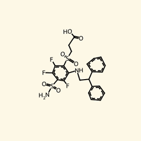 NS(=O)(=O)c1c(F)c(F)c(S(=O)(=O)CCC(=O)O)c(NCC(c2ccccc2)c2ccccc2)c1F